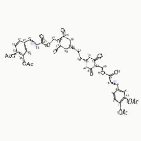 CC(=O)Oc1ccc(/C=C/C(=O)OCN2C(=O)CN(CCN3CC(=O)N(COC(=O)/C=C/c4ccc(OC(C)=O)c(OC(C)=O)c4)C(=O)C3)CC2=O)cc1OC(C)=O